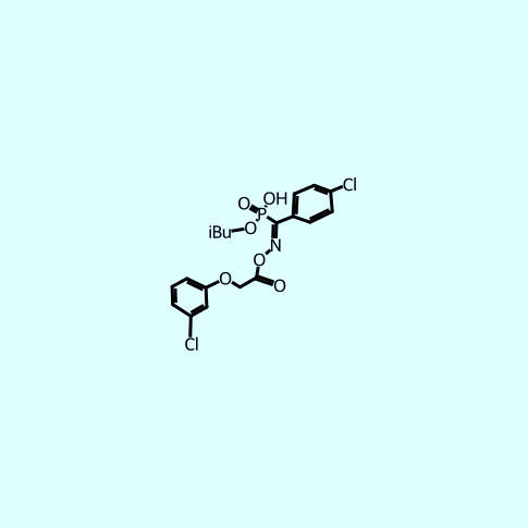 CCC(C)OP(=O)(O)C(=NOC(=O)COc1cccc(Cl)c1)c1ccc(Cl)cc1